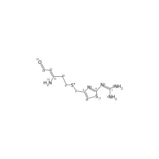 NC(N)=Nc1nc(CSCC/C(N)=C/C=O)cs1